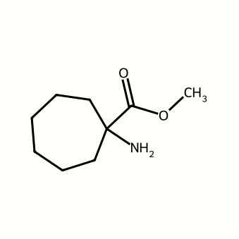 COC(=O)C1(N)CCCCCC1